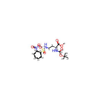 COC(=O)[C@H](CCNS(=O)(=O)c1ccccc1[N+](=O)[O-])NC(=O)OC(C)(C)C